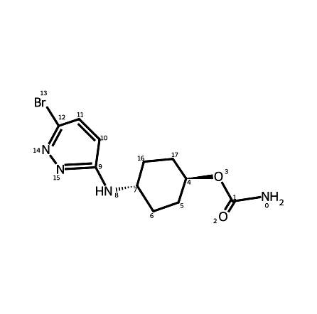 NC(=O)O[C@H]1CC[C@H](Nc2ccc(Br)nn2)CC1